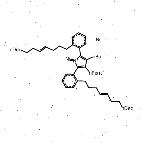 CCCCCCCCCCCCC=CCCCc1ccccc1C1=C(CCCC)C(CCCCC)=C(c2ccccc2CCCC=CCCCCCCCCCCCC)[N+]1=[N-].[Ni]